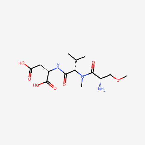 COC[C@H](N)C(=O)N(C)[C@H](C(=O)N[C@@H](CC(=O)O)C(=O)O)C(C)C